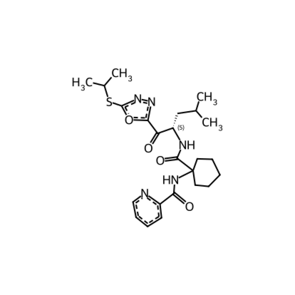 CC(C)C[C@H](NC(=O)C1(NC(=O)c2ccccn2)CCCCC1)C(=O)c1nnc(SC(C)C)o1